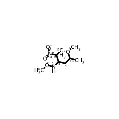 CONC(CC(C)OC)C(C)[N+](=O)[O-]